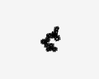 c1ccc(-c2nc(-c3ccccc3)nc(-c3ccnc(-c4ccc5c(c4)c4ccccc4n5-c4cccc(-c5cccc6c5c5ccccc5n6-c5ccccc5)c4)c3)n2)cc1